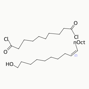 CCCCCCCC/C=C\CCCCCCCCO.O=C(Cl)CCCCCCCCC(=O)Cl